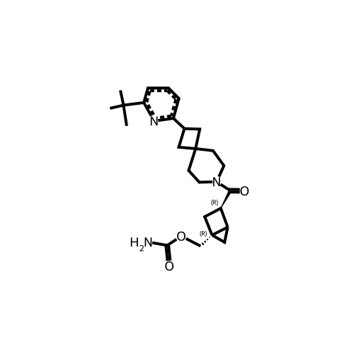 CC(C)(C)c1cccc(C2CC3(CCN(C(=O)[C@@H]4C[C@]5(COC(N)=O)CC45)CC3)C2)n1